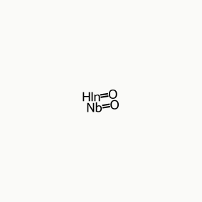 [O]=[InH].[O]=[Nb]